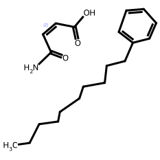 CCCCCCCCCCc1ccccc1.NC(=O)/C=C\C(=O)O